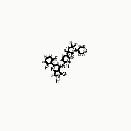 CC1(c2ccc(Nc3cc(-c4c(F)cccc4F)nc4c3C(=O)NC4)nc2)CC(C)(C)N(C2=CCOCC2)C1=O